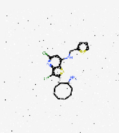 N[C@H]1CCCCCC[C@@H]1c1sc2c(NCc3cccs3)cc(Cl)nc2c1Cl